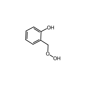 OOCc1ccccc1O